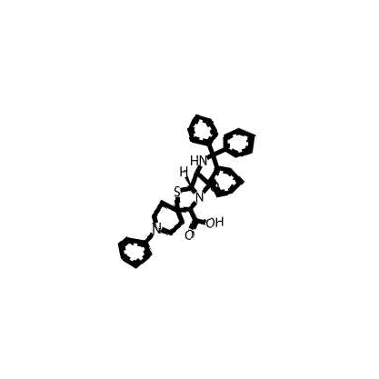 O=C(O)C1N2C(=O)C(NC(c3ccccc3)(c3ccccc3)c3ccccc3)[C@H]2SC12CCN(c1ccccc1)CC2